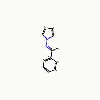 CC(=Nn1cccc1)c1ccccc1